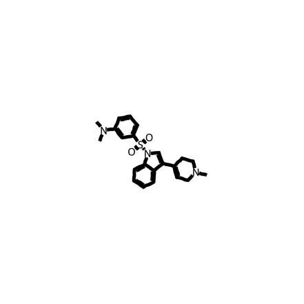 CN1CC=C(c2cn(S(=O)(=O)c3cccc(N(C)C)c3)c3ccccc23)CC1